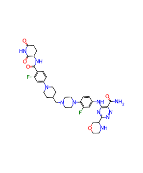 NC(=O)c1nnc(C2COCCN2)nc1Nc1ccc(N2CCN(CC3CCN(c4ccc(C(=O)NC5CCC(=O)NC5=O)c(F)c4)CC3)CC2)c(F)c1